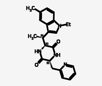 CCn1cc([C@@H](C)[C@H]2NC(=O)[C@@H](Cc3ccccn3)NC2=O)c2cc(C)ccc21